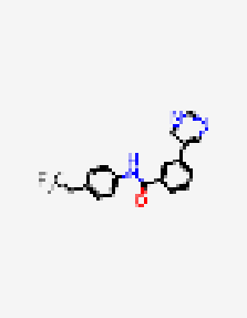 O=C(Nc1ccc(CC(F)(F)F)cc1)c1cccc(-c2cncnc2)c1